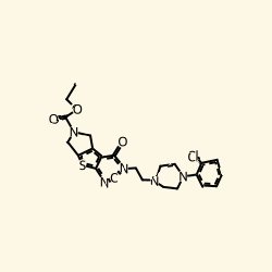 CCOC(=O)N1Cc2sc3ncn(CCN4CCN(c5ccccc5Cl)CC4)c(=O)c3c2C1